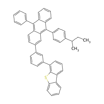 CCC(C)c1ccc(-c2c3ccccc3c(-c3ccccc3)c3ccc(-c4cccc(-c5cccc6c5sc5ccccc56)c4)cc23)cc1